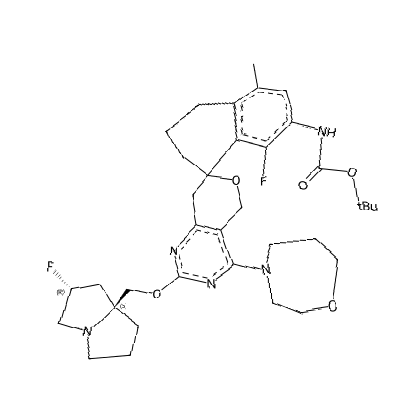 Cc1cc(NC(=O)OC(C)(C)C)c(F)c2c1CCCC21Cc2nc(OC[C@@]34CCCN3C[C@H](F)C4)nc(N3CCCOCC3)c2CO1